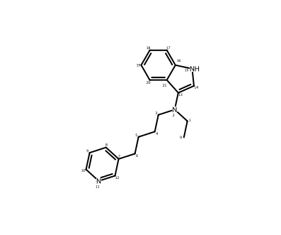 CCN(CCCCc1cccnc1)c1c[nH]c2ccccc12